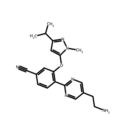 CC(C)c1cc(Oc2cc(C#N)ccc2-c2ncc(CCN)cn2)n(C)n1